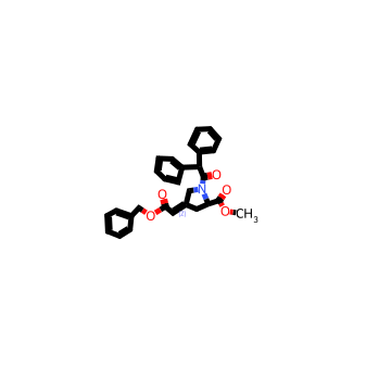 COC(=O)C1C/C(=C/C(=O)OCc2ccccc2)CN1C(=O)C(c1ccccc1)c1ccccc1